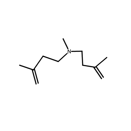 C=C(C)CCN(C)CCC(=C)C